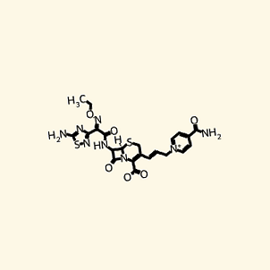 CCO/N=C(/C(=O)NC1C(=O)N2C(C(=O)[O-])=C(/C=C/C[n+]3ccc(C(N)=O)cc3)CS[C@H]12)c1nsc(N)n1